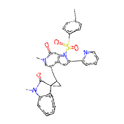 Cc1ccc(S(=O)(=O)n2c(-c3ccccn3)cc3c(C4CC45C(=O)N(C)c4ccccc45)cn(C)c(=O)c32)cc1